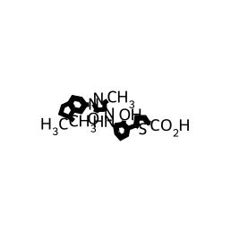 CC1=NN(c2ccc3c(c2)C(C)(C)CC3)C(=O)/C1=N\Nc1cccc(-c2ccc(C(=O)O)s2)c1O